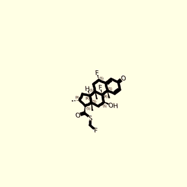 C[C@@H]1C[C@@H]2[C@](C)(C[C@H](O)[C@]3(F)[C@@]4(C)C=CC(=O)C=C4[C@@H](F)C[C@@]23C)[C@H]1C(=O)SCF